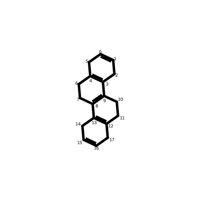 C1=CCC2=C(C1)CCC1=C2CCC2=C1CC=CC2